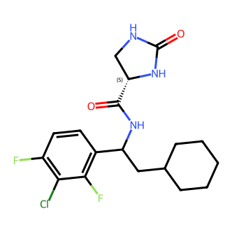 O=C1NC[C@@H](C(=O)NC(CC2CCCCC2)c2ccc(F)c(Cl)c2F)N1